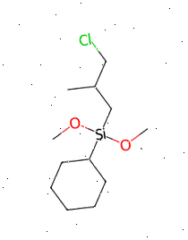 CO[Si](CC(C)CCl)(OC)C1CCCCC1